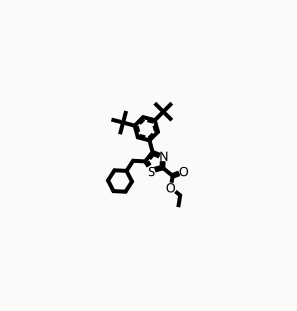 CCOC(=O)c1nc(-c2cc(C(C)(C)C)cc(C(C)(C)C)c2)c(CC2CCCCC2)s1